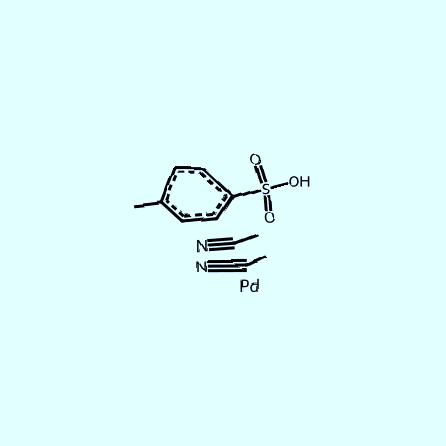 CC#N.CC#N.Cc1ccc(S(=O)(=O)O)cc1.[Pd]